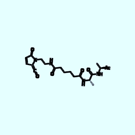 CC(=O)[C@H](C)NC(=O)[C@H](C)NC(=O)CCCCC(=O)NCCN1C(=O)C=CC1=C=O